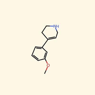 COc1cccc(C2=CCNCC2)c1